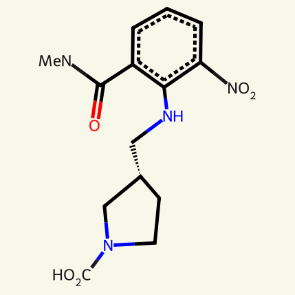 CNC(=O)c1cccc([N+](=O)[O-])c1NC[C@@H]1CCN(C(=O)O)C1